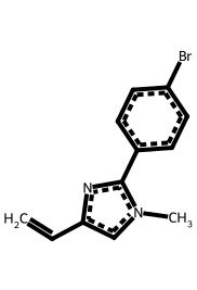 C=Cc1cn(C)c(-c2ccc(Br)cc2)n1